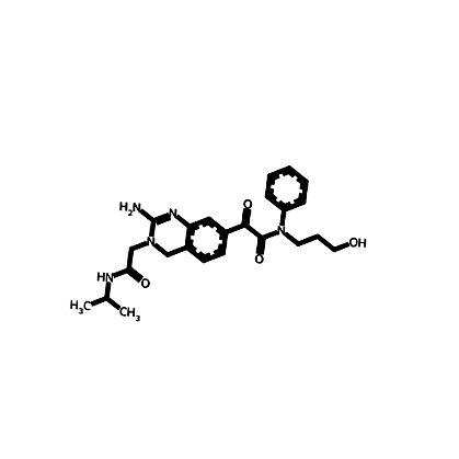 CC(C)NC(=O)CN1Cc2ccc(C(=O)C(=O)N(CCCO)c3ccccc3)cc2N=C1N